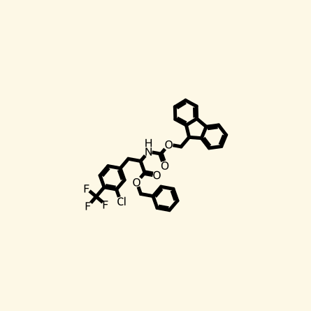 O=C(NC(Cc1ccc(C(F)(F)F)c(Cl)c1)C(=O)OCc1ccccc1)OCC1c2ccccc2-c2ccccc21